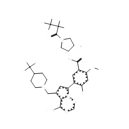 COc1cc(F)c(-c2cc(CN3CCC(C(F)(F)F)CC3)c3c(N)ncnn23)cc1C(=O)N[C@@H]1CN(C(=O)C(C)(O)C(F)(F)F)C[C@@H]1F